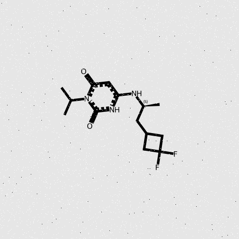 CC(C)n1c(=O)cc(N[C@@H](C)CC2CC(F)(F)C2)[nH]c1=O